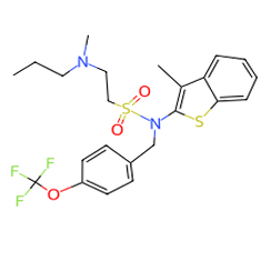 CCCN(C)CCS(=O)(=O)N(Cc1ccc(OC(F)(F)F)cc1)c1sc2ccccc2c1C